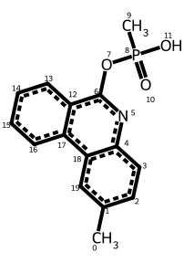 Cc1ccc2nc(OP(C)(=O)O)c3ccccc3c2c1